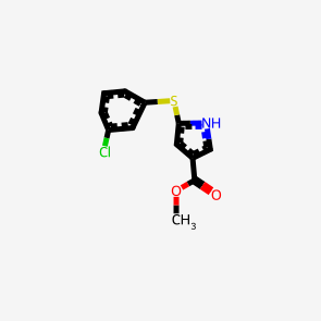 COC(=O)c1c[nH]c(Sc2cccc(Cl)c2)c1